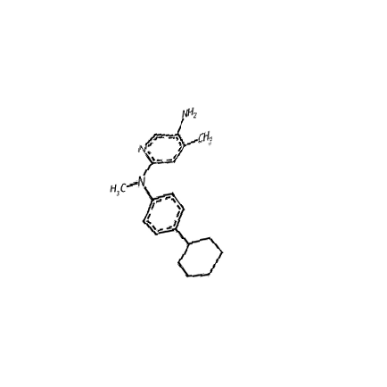 Cc1cc(N(C)c2ccc(C3CCCCC3)cc2)ncc1N